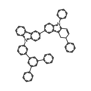 C1=CC(c2ccccc2)Cc2c1n(-c1ccccc1)c1ccc(-c3ccc4c(c3)c3ccccc3n4-c3cccc(-c4cc(-c5ccccc5)cc(-c5ccccc5)c4)c3)cc21